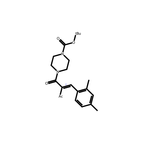 CC(=O)/C(=C\c1ccc(C)cc1C)C(=O)N1CCN(C(=O)OC(C)(C)C)CC1